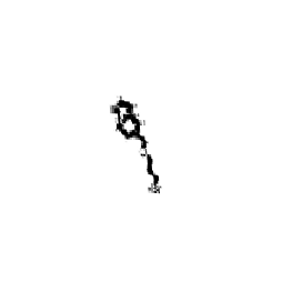 BrCCCOCc1ccn2nccc2c1